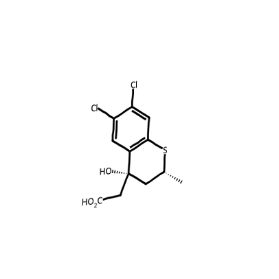 C[C@@H]1C[C@@](O)(CC(=O)O)c2cc(Cl)c(Cl)cc2S1